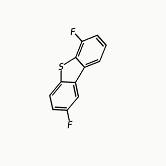 Fc1ccc2sc3c(F)cccc3c2c1